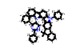 CC1(C)c2ccccc2-c2cc3c(cc21)c1c(ccc2c4ccccc4n(-c4cnc(-c5ccccc5)nc4-c4ccccc4)c21)n3-c1ccccc1